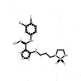 O=S1(=O)NCCN1CCCNc1nonc1C(=NO)Nc1ccc(F)c(Br)c1